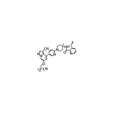 CC1(NC(=O)c2ncccc2CF)CCN(c2ccc(-c3cc(OCC4(C#N)CC4)cn4ncc(C#N)c34)cn2)CC1